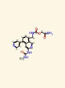 CCNC(=O)Nc1cc2c(-c3ccncc3)ccc(CNC(=O)OCC(N)=O)c2cn1